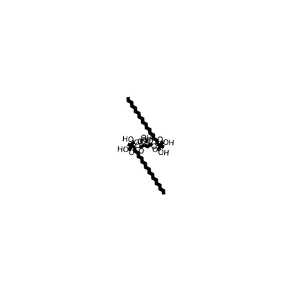 CCCCCCCCCCCCCCCCCC(OC(=O)CC(C(=O)OC(CCCCCCCCCCCCCCCCC)C(C)(C(=O)O)C(=O)O)S(=O)(=O)O)C(C)(C(=O)O)C(=O)O